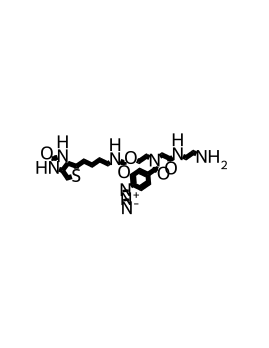 [N-]=[N+]=Nc1ccc(C(=O)N(CCOC(=O)NCCCCC2SCC3NC(=O)NC32)CC(=O)NCCN)cc1